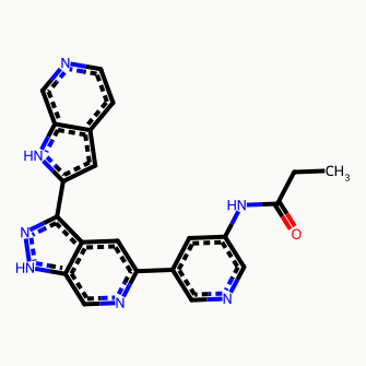 CCC(=O)Nc1cncc(-c2cc3c(-c4cc5ccncc5[nH]4)n[nH]c3cn2)c1